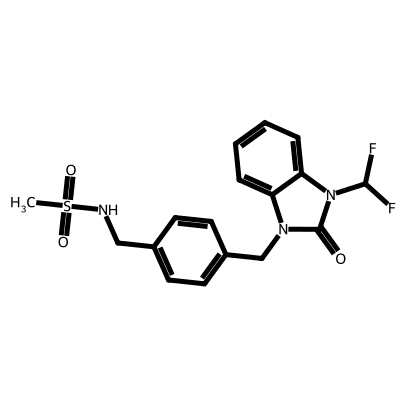 CS(=O)(=O)NCc1ccc(Cn2c(=O)n(C(F)F)c3ccccc32)cc1